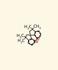 CC1(C)CC2(CC(C)(C)c3cccc(Br)c32)c2c(Br)cccc21